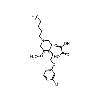 CCCCCN1CC[C@@H](CCOc2cccc(Cl)c2)[C@@H](OC)C1.O=C(O)C(=O)O